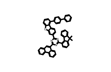 CC1(C)c2ccccc2-c2c(-c3nc(-c4ccc5c(c4)oc4cccc(-c6ccc(-c7ccccc7)cc6)c45)nc(-c4cc5ccccc5c5ccccc45)n3)cccc21